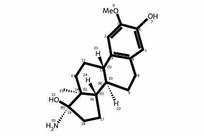 COc1cc2c(cc1O)CC[C@@H]1[C@@H]2CC[C@@]2(C)[C@H]1CC[C@@]2(N)O